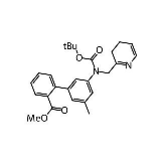 COC(=O)c1ccccc1-c1cc(C)cc(N(CC2=NC=CCC2)C(=O)OC(C)(C)C)c1